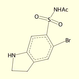 CC(=O)NS(=O)(=O)c1cc2c(cc1Br)CCN2